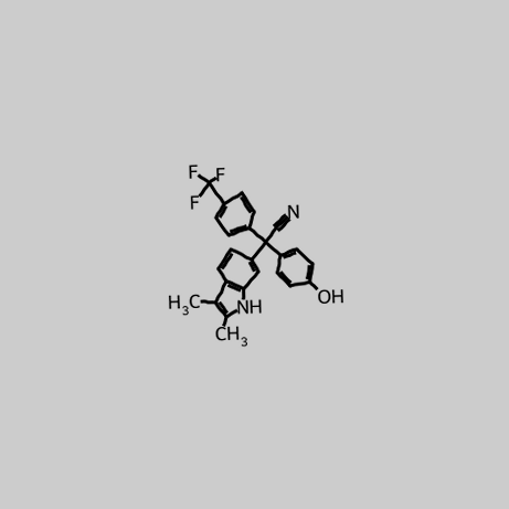 Cc1[nH]c2cc(C(C#N)(c3ccc(O)cc3)c3ccc(C(F)(F)F)cc3)ccc2c1C